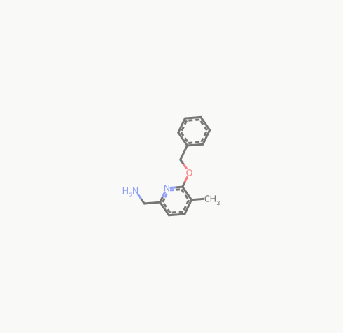 Cc1ccc(CN)nc1OCc1ccccc1